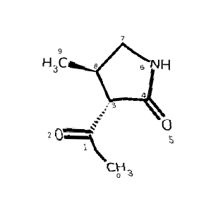 CC(=O)[C@H]1C(=O)NC[C@@H]1C